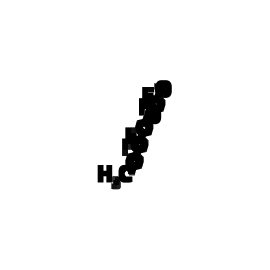 CCc1ccc(-c2ccc(C3CCC(COc4ccc(C5CO5)c(F)c4F)CC3)c(F)c2F)cc1